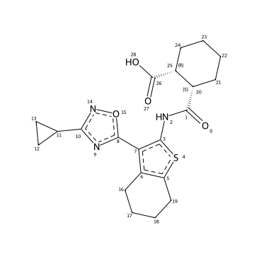 O=C(Nc1sc2c(c1-c1nc(C3CC3)no1)CCCC2)[C@H]1CCCC[C@H]1C(=O)O